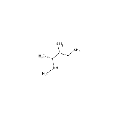 CCC([SiH3])C(C)NC